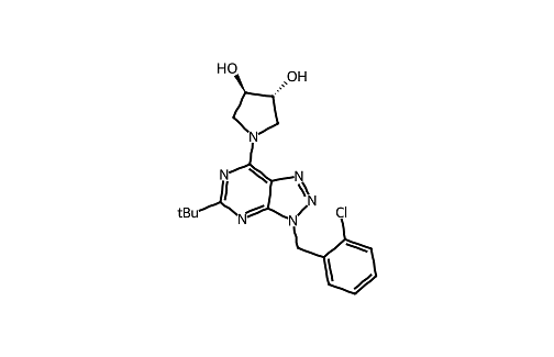 CC(C)(C)c1nc(N2C[C@@H](O)[C@H](O)C2)c2nnn(Cc3ccccc3Cl)c2n1